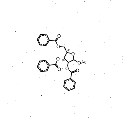 CC(=O)OC1O[C@H](COC(=O)c2ccccc2)[C@@H](OC(=O)c2ccccc2)C1OC(=O)c1ccccc1